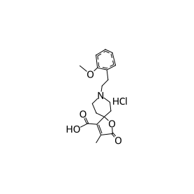 COc1ccccc1CCN1CCC2(CC1)OC(=O)C(C)=C2C(=O)O.Cl